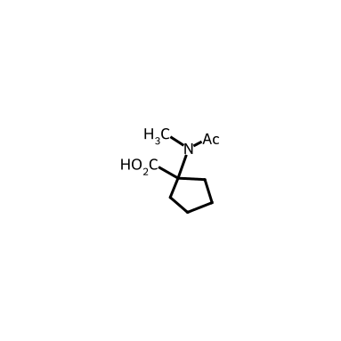 CC(=O)N(C)C1(C(=O)O)CCCC1